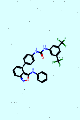 O=C(Nc1ccc(-c2cccc3noc(Nc4ccccc4)c23)cc1)Nc1cc(C(F)(F)F)cc(C(F)(F)F)c1